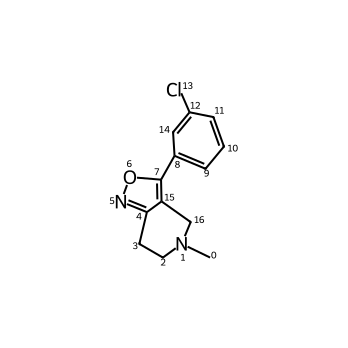 CN1CCc2noc(-c3cccc(Cl)c3)c2C1